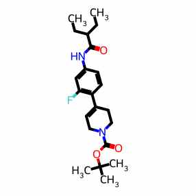 CCC(CC)C(=O)Nc1ccc(C2=CCN(C(=O)OC(C)(C)C)CC2)c(F)c1